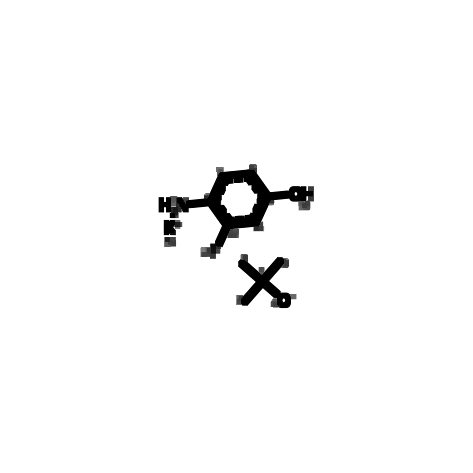 CC(C)(C)[O-].Nc1ccc(O)cc1F.[K+]